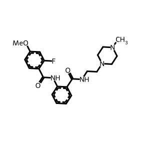 COc1ccc(C(=O)Nc2ccccc2C(=O)NCCN2CCN(C)CC2)c(F)c1